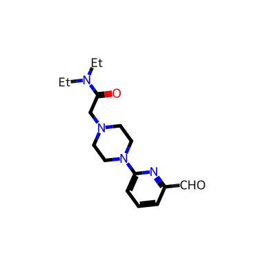 CCN(CC)C(=O)CN1CCN(c2cccc(C=O)n2)CC1